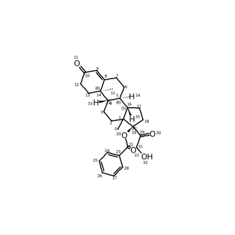 CC12CC[C@H]3[C@@H](CCC4=CC(=O)CC[C@@]43C)[C@@H]1CC[C@]2(OC(=O)c1ccccc1)C(=O)CO